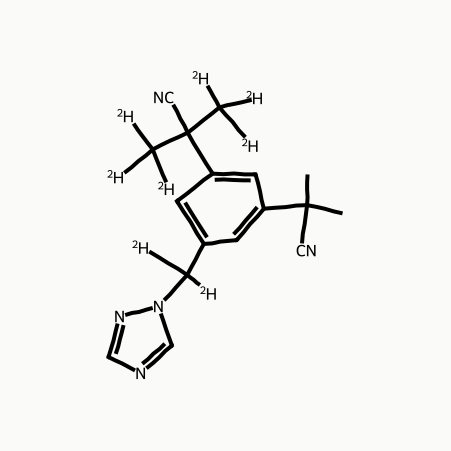 [2H]C([2H])(c1cc(C(C)(C)C#N)cc(C(C#N)(C([2H])([2H])[2H])C([2H])([2H])[2H])c1)n1cncn1